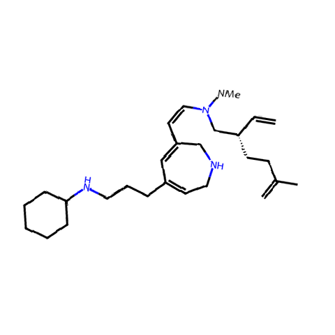 C=C[C@H](CCC(=C)C)CN(/C=C\C1=CC(CCCNC2CCCCC2)=CCNC1)NC